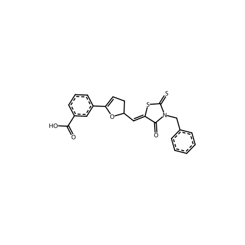 O=C(O)c1cccc(C2=CCC(/C=C3\SC(=S)N(Cc4ccccc4)C3=O)O2)c1